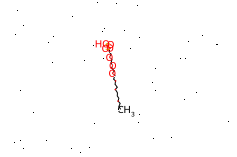 CCCCCCCCCCCCCOCCOCCOCCOS(=O)(=O)O